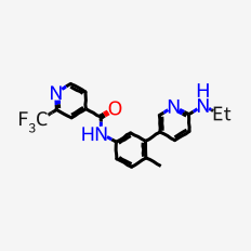 CCNc1ccc(-c2cc(NC(=O)c3ccnc(C(F)(F)F)c3)ccc2C)cn1